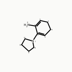 NC1=CCCC=C1N1CCCC1